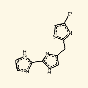 Clc1csc(Cc2c[nH]c(-c3ncc[nH]3)n2)n1